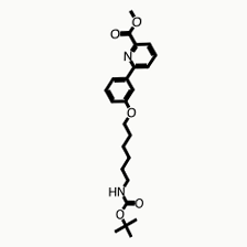 COC(=O)c1cccc(-c2cccc(OCCCCCCNC(=O)OC(C)(C)C)c2)n1